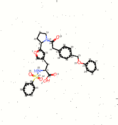 O=C(O)C(Cc1coc(C2CCCN2C(=O)Cc2ccc(COc3ccccc3)cc2)c1)NS(=O)(=O)c1ccccc1